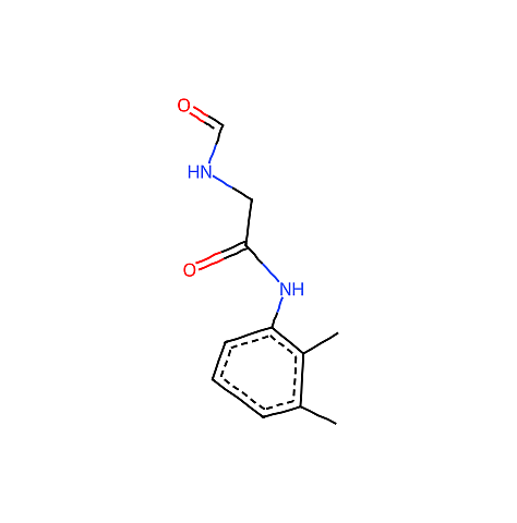 Cc1cccc(NC(=O)CNC=O)c1C